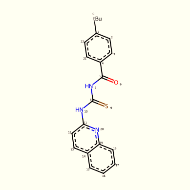 CC(C)(C)c1ccc(C(=O)NC(=S)Nc2ccc3ccccc3n2)cc1